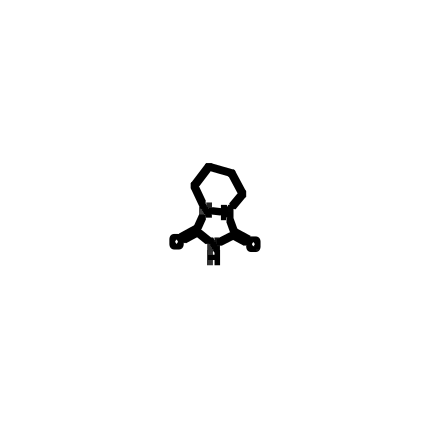 O=c1[nH]c(=O)n2n1CCCC2